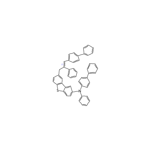 C(=C(\Cc1ccc2sc3ccc(N(c4ccccc4)c4ccc(-c5ccccc5)cc4)cc3c2c1)c1ccccc1)/c1ccc(-c2ccccc2)cc1